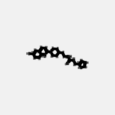 O=C(NCCC1CCN(c2ccc3cc(F)ccc3n2)CC1)OCc1cncs1